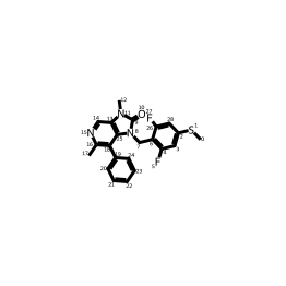 CSc1cc(F)c(Cn2c(=O)n(C)c3cnc(C)c(-c4ccccc4)c32)c(F)c1